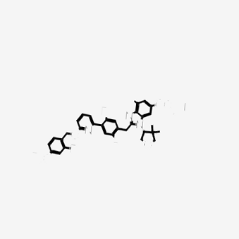 CC1(C)COCC1n1c(Cc2cc(F)c(-c3cccc(OCc4ccc(C(F)(F)F)cc4F)n3)cc2F)nc2c(F)cc(C(=O)O)cc21